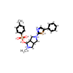 Cc1ccc(S(=O)(=O)OC2C3CN(c4ncc(-c5ccccc5)s4)CC3CN2C)cc1